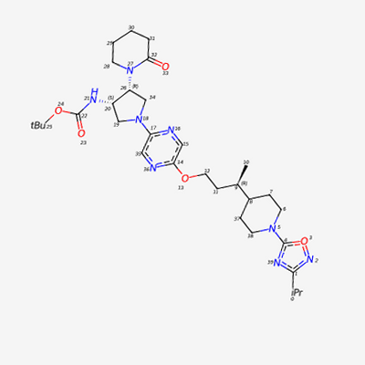 CC(C)c1noc(N2CCC([C@H](C)CCOc3cnc(N4C[C@H](NC(=O)OC(C)(C)C)[C@H](N5CCCCC5=O)C4)cn3)CC2)n1